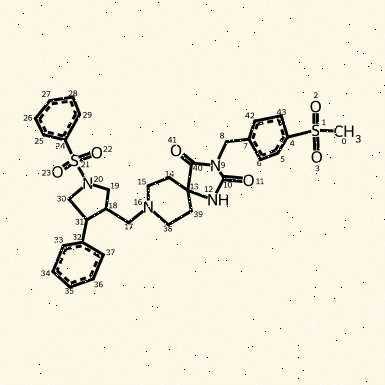 CS(=O)(=O)c1ccc(CN2C(=O)NC3(CCN(CC4CN(S(=O)(=O)c5ccccc5)CC4c4ccccc4)CC3)C2=O)cc1